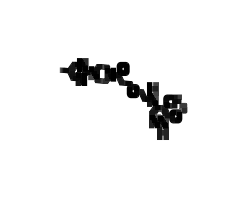 Cc1cnc(N2CCN(C(=O)CCOCCNc3cn[nH]c(=O)c3C(F)(F)F)CC2)nc1